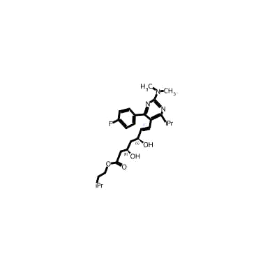 CC(C)CCOC(=O)C[C@H](O)C[C@H](O)/C=C/c1c(-c2ccc(F)cc2)nc(N(C)C)nc1C(C)C